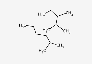 CCC(C)C(C)C.CCCCC(C)C